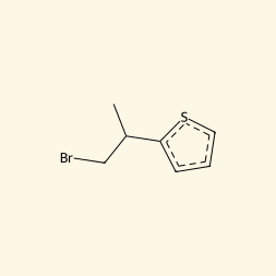 CC(CBr)c1cccs1